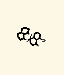 O=C1C=CC2(Oc3cccc4cccc(c34)O2)C2C=CC=C(O)C12